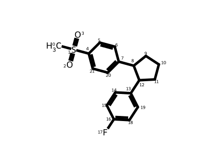 CS(=O)(=O)c1ccc(C2CCCC2c2ccc(F)cc2)cc1